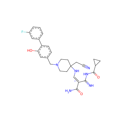 N#CCC1(N/C=C(\C(=N)NC(=O)C2CC2)C(N)=O)CCN(Cc2ccc(-c3cccc(F)c3)c(O)c2)CC1